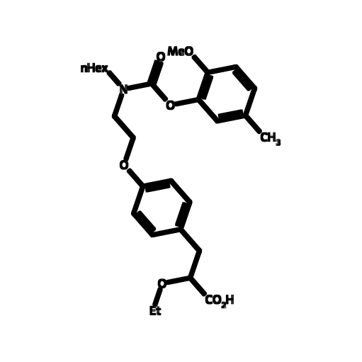 CCCCCCN(CCOc1ccc(CC(OCC)C(=O)O)cc1)C(=O)Oc1cc(C)ccc1OC